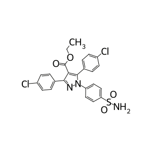 CCOC(=O)c1c(-c2ccc(Cl)cc2)nn(-c2ccc(S(N)(=O)=O)cc2)c1-c1ccc(Cl)cc1